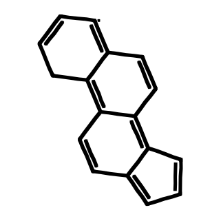 [C]1=c2ccc3c4c(ccc3c2CC=C1)=CC=C4